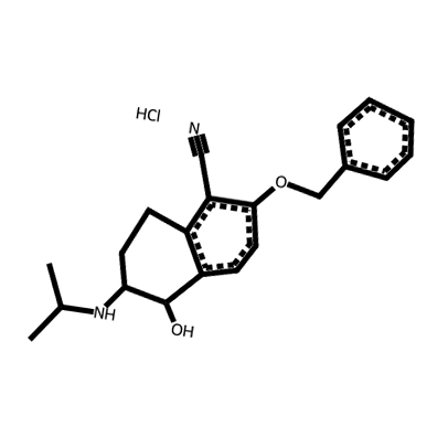 CC(C)NC1CCc2c(ccc(OCc3ccccc3)c2C#N)C1O.Cl